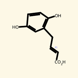 O=C(O)/C=C/Cc1cc(O)ccc1O